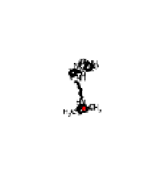 Cc1nc2cccc(NCCCCCCCNC34CC5C[C@@](C)(C3)C[C@](C)(C5)C4)c2c(=O)n1C1CCC(=O)NC1=O